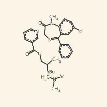 CC(=O)N(C)C.CCCCC(C)COC(=O)c1cccnc1.CN1C(=O)CN=C(c2ccccc2)c2cc(Cl)ccc21